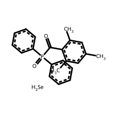 Cc1cc(C)c(C(=O)P(=O)(c2ccccc2)c2ccccc2)c(C)c1.[SeH2]